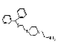 NCCN1CCN(CCSC(c2ccccc2)c2ccccc2)CC1